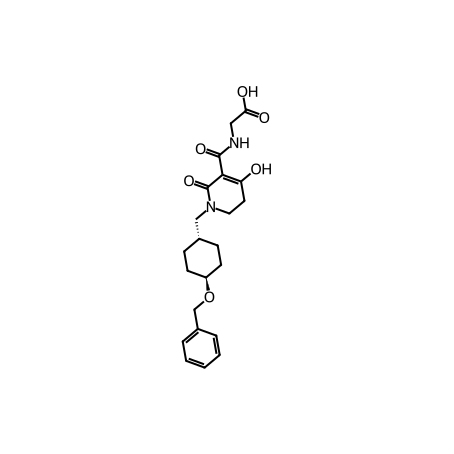 O=C(O)CNC(=O)C1=C(O)CCN(C[C@H]2CC[C@H](OCc3ccccc3)CC2)C1=O